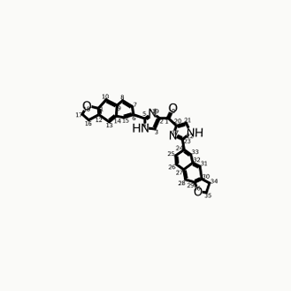 O=C(c1c[nH]c(-c2ccc3cc4c(cc3c2)CCO4)n1)c1c[nH]c(-c2ccc3cc4c(cc3c2)CCO4)n1